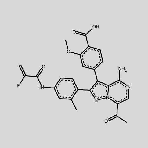 C=C(F)C(=O)Nc1ccc(-c2nn3c(C(C)=O)cnc(N)c3c2-c2ccc(C(=O)O)c(OC)c2)c(C)c1